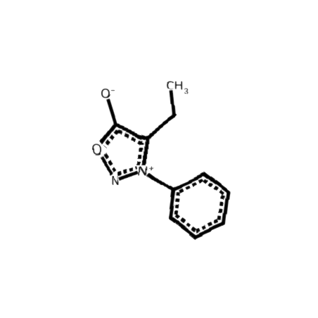 CCc1c([O-])on[n+]1-c1ccccc1